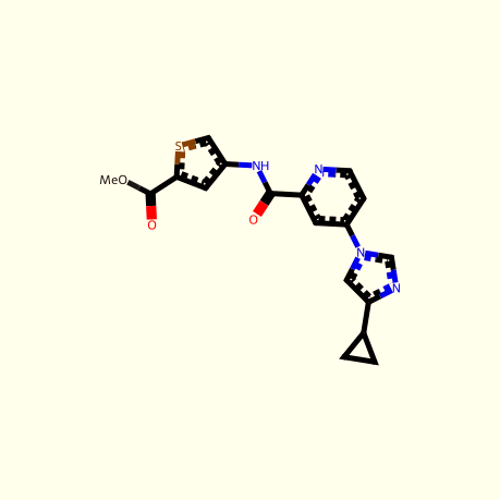 COC(=O)c1cc(NC(=O)c2cc(-n3cnc(C4CC4)c3)ccn2)cs1